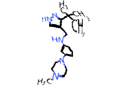 CN1CCN(c2cccc(NCc3c[nH]nc3C(C)(C)C)c2)CC1